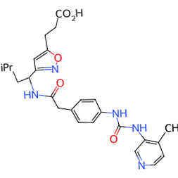 Cc1ccncc1NC(=O)Nc1ccc(CC(=O)NC(CC(C)C)c2cc(CCC(=O)O)on2)cc1